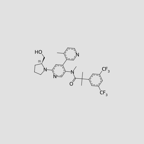 Cc1ccncc1-c1cc(N2CCC[C@H]2CO)ncc1N(C)C(=O)C(C)(C)c1cc(C(F)(F)F)cc(C(F)(F)F)c1